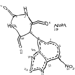 O=C1NC(=O)C(c2ccc([N+](=O)[O-])c3nsnc23)C(=O)N1.[NaH]